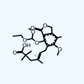 CCOC(OC)Oc1c(C/C=C(\C)CC(C)(C)C(=O)O)c(OC)c(C)c2c1C(=O)OC2